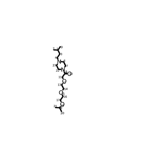 CC(C)CCN1CCN(C(=O)COCCOCCOC(C)C)CC1